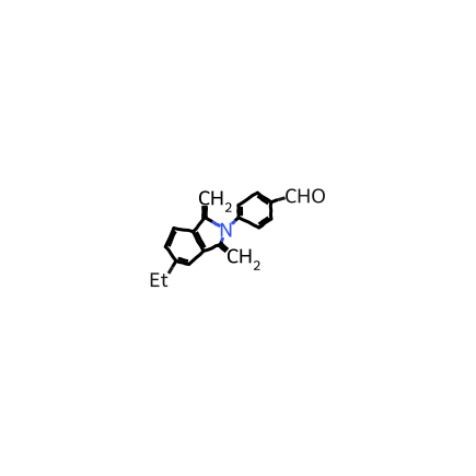 C=c1c2ccc(CC)cc2c(=C)n1-c1ccc(C=O)cc1